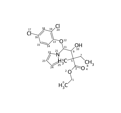 CCOC(=O)C(C)(CC)C(O)C(Oc1ccc(Cl)cc1Cl)n1cccc1